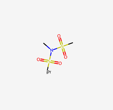 CC(C)S(=O)(=O)N(C)S(C)(=O)=O